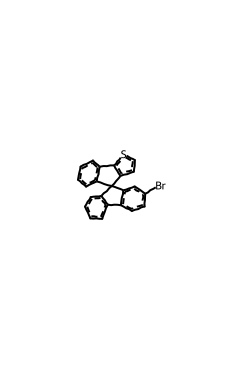 Brc1ccc2c(c1)C1(c3ccccc3-2)c2ccccc2-c2sccc21